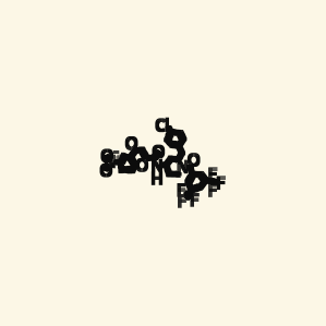 O=C(NC1CCN(C(=O)c2cc(C(F)(F)F)cc(C(F)(F)F)c2)C(Cc2ccc(Cl)cc2)C1)c1cc(=O)c2cc([N+](=O)[O-])ccc2o1